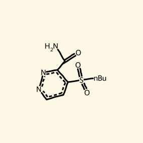 CCCCS(=O)(=O)c1ccnnc1C(N)=O